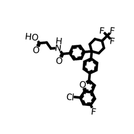 O=C(O)CCNC(=O)c1ccc(C2(c3ccc(-c4cc5cc(F)cc(Cl)c5o4)cc3)CCC(C(F)(F)F)CC2)cc1